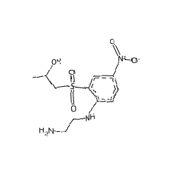 CC(O)CS(=O)(=O)c1cc([N+](=O)[O-])ccc1NCCN